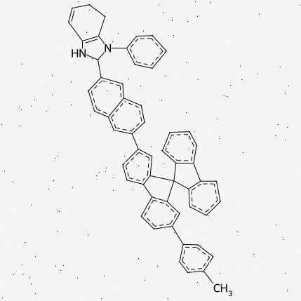 Cc1ccc(-c2ccc3c(c2)C2(c4ccccc4-c4ccccc42)c2cc(-c4ccc5cc(C6NC7=C(CCC=C7)N6c6ccccc6)ccc5c4)ccc2-3)cc1